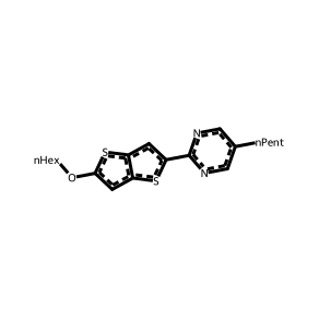 CCCCCCOc1cc2sc(-c3ncc(CCCCC)cn3)cc2s1